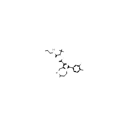 CC1CCn2c(-c3ccc(F)c(F)c3)nc(C(=O)N[C@H](C(=O)NCCF)C(C)(C)C)c2CN1C